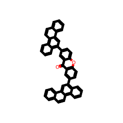 O=c1c2cc(-c3cc4c5ccccc5ccc4c4ccccc34)ccc2oc2ccc(-c3cc4c5ccccc5ccc4c4ccccc34)cc12